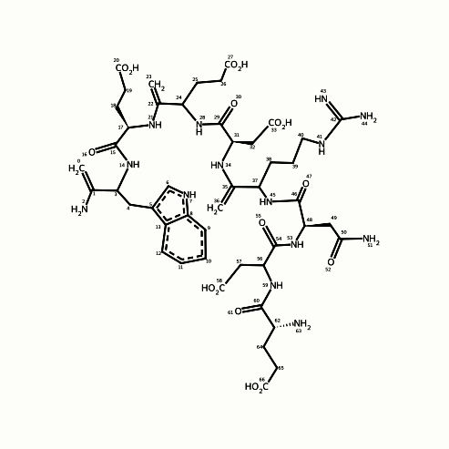 C=C(N)C(Cc1c[nH]c2ccccc12)NC(=O)[C@@H](CCC(=O)O)NC(=C)C(CCC(=O)O)NC(=O)[C@@H](CC(=O)O)NC(=C)C(CCCNC(=N)N)NC(=O)[C@@H](CC(N)=O)NC(=O)C(CC(=O)O)NC(=O)[C@H](N)CCC(=O)O